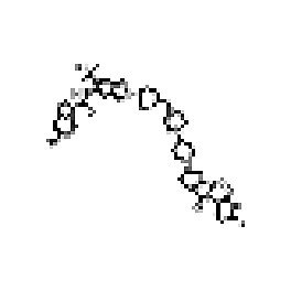 CC(C)(O)c1cc2nn([C@H]3CC[C@H](CN4CCN(C5CCN(c6ccc7c(c6)C(=O)N(C6CCC(=O)NC6=O)C7=O)CC5)CC4)CC3)cc2cc1NC(=O)c1ccc2cc(C#N)cnn12